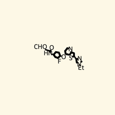 CCn1cnc(-c2cc3nccc(Oc4ccc(NC(=O)CC=O)cc4F)c3s2)c1